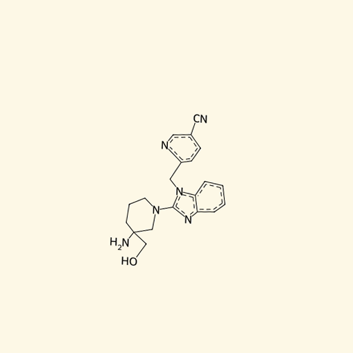 N#Cc1ccc(Cn2c(N3CCCC(N)(CO)C3)nc3ccccc32)nc1